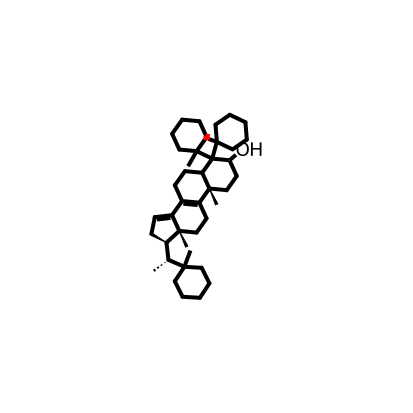 C[C@H]([C@H]1CC=C2C3=C(CC[C@@]21C)[C@@]1(C)CCC(O)C(C2(C)CCCCC2)(C2(C)CCCCC2)C1CC3)C1(C)CCCCC1